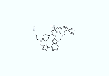 CC(C)(C)OC(=O)N1CCN([C@H](CCCC#N)Cn2cc(-c3ncnc4c3ccn4COCCS(C)(C)C)cn2)CC1